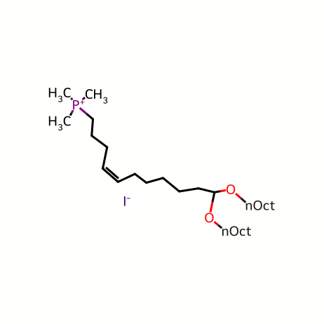 CCCCCCCCOC(CCCCC/C=C\CCC[P+](C)(C)C)OCCCCCCCC.[I-]